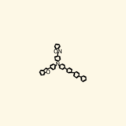 c1ccc(-c2ccc(-c3ccc(-c4ccc(N(c5ccc(-c6cc7ccccc7o6)cc5)c5ccc(-c6nc7ccccc7o6)cc5)cc4)cc3)cc2)cc1